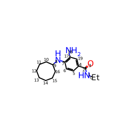 CCNC(=O)c1ccc(NC2CCCCCCC2)c(N)c1